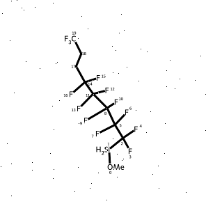 CO[SiH2]C(F)(F)C(F)(F)C(F)(F)C(F)(F)C(F)(F)CCC(F)(F)F